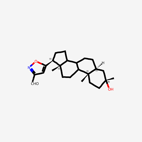 C[C@@]1(O)CC[C@]2(C)C3CC[C@@]4(C)C(CC[C@@H]4c4cc(C=O)no4)C3CC[C@H]2C1